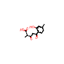 Cc1ccc(C(=O)CC(=O)C(C)C(=O)O)c(O)c1